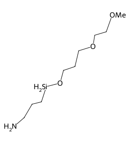 COCCOCCCO[SiH2]CCCN